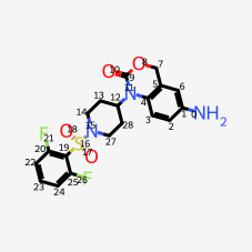 Nc1ccc2c(c1)COC(=O)N2C1CCN(S(=O)(=O)c2c(F)cccc2F)CC1